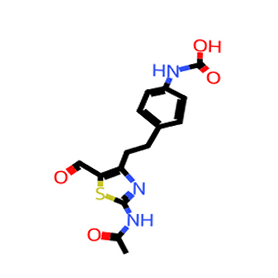 CC(=O)Nc1nc(CCc2ccc(NC(=O)O)cc2)c(C=O)s1